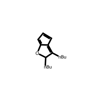 CCCC[C]1OC2=CC=CC2=C1CCCC